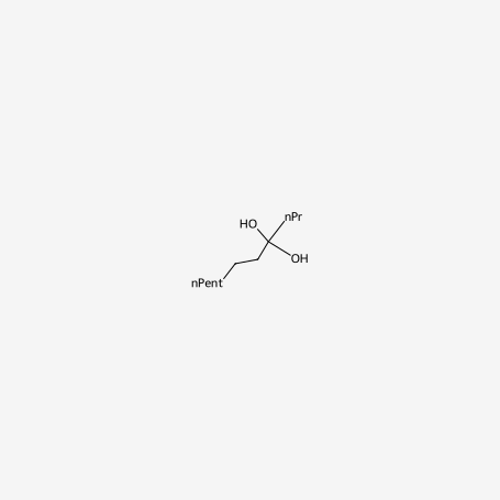 [CH2]CCCCCCC(O)(O)CCC